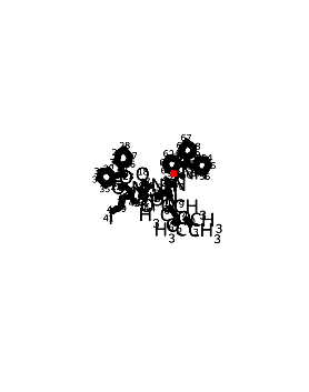 CC(C)(C)OC(=O)C(C)(C)O/N=C(\C(=O)NC1C(=O)N2C(C(=O)OC(c3ccccc3)c3ccccc3)=C(/C=C/CI)C[S+]([O-])[C@H]12)c1csc(NC(c2ccccc2)(c2ccccc2)c2ccccc2)n1